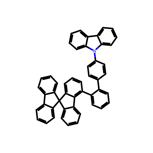 c1ccc(-c2cccc3c2-c2ccccc2C32c3ccccc3-c3ccccc32)c(-c2ccc(-n3c4ccccc4c4ccccc43)cc2)c1